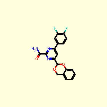 NC(=O)c1nc(-c2ccc(F)c(F)c2)cc(C2OCc3ccccc3O2)n1